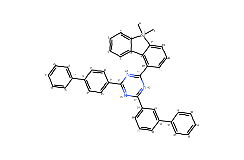 C[Si]1(C)c2ccccc2-c2c(-c3nc(-c4ccc(-c5ccccc5)cc4)nc(-c4cccc(-c5ccccc5)c4)n3)cccc21